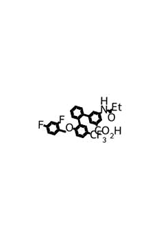 CCC(=O)Nc1cc(C(=O)O)cc(-c2ccccc2-c2cc(C(F)(F)F)ccc2OCc2ccc(F)cc2F)c1